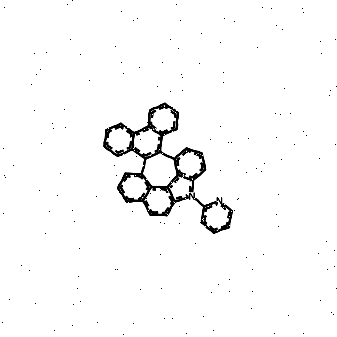 c1ccc(-n2c3cccc4c3c3c5c(cccc5ccc32)-c2c-4c3ccccc3c3ccccc23)nc1